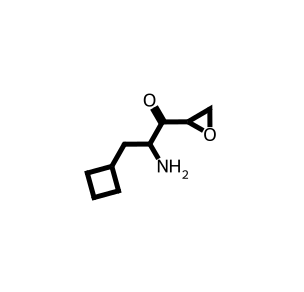 NC(CC1CCC1)C(=O)C1CO1